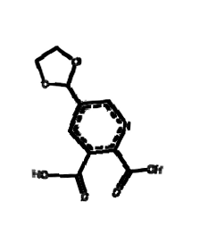 O=C(O)c1cc(C2OCCO2)cnc1C(=O)O